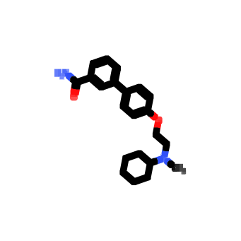 CN(CCOc1ccc(-c2cccc(C(N)=O)c2)cc1)C1CCCCC1